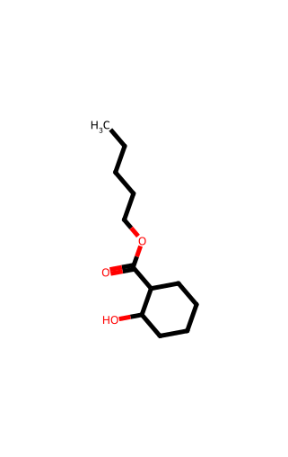 CCCCCOC(=O)C1CCCCC1O